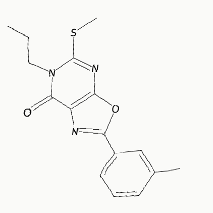 CCCn1c(SC)nc2oc(-c3cccc(C)c3)nc2c1=O